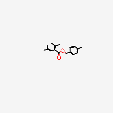 CC(C)=CC(C(=O)OCc1ccc(C)cc1)=C(C)C